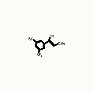 CO/C=C(\C#N)c1cc(C(F)(F)F)cc(C(F)(F)F)c1